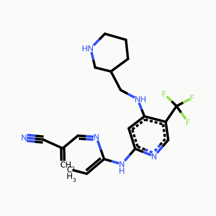 C=C(C#N)/C=N\C(=C/C)Nc1cc(NCC2CCCNC2)c(C(F)(F)F)cn1